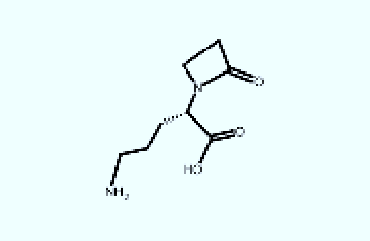 NCCC[C@@H](C(=O)O)N1CCC1=O